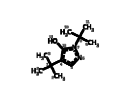 CC(C)(C)c1cnn(C(C)(C)C)c1O